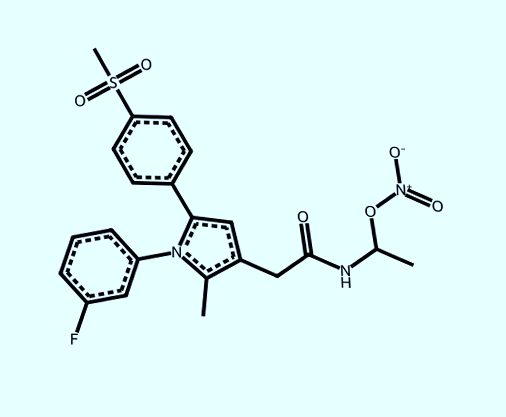 Cc1c(CC(=O)NC(C)O[N+](=O)[O-])cc(-c2ccc(S(C)(=O)=O)cc2)n1-c1cccc(F)c1